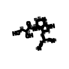 N#CC(C#N)=Cc1c[nH]c2nccc(NC(=O)C(O)CO)c12